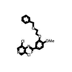 COc1ccc(C(F)=Nc2c(Cl)cncc2Cl)cc1OCCOCc1ccccc1